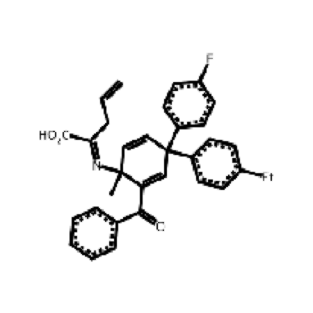 C=CCC(=NC1(C)C=CC(c2ccc(F)cc2)(c2ccc(CC)cc2)C=C1C(=O)c1ccccc1)C(=O)O